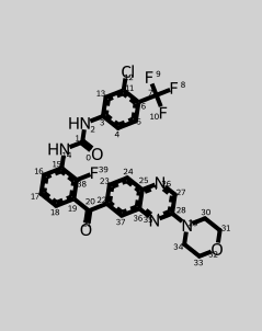 O=C(Nc1ccc(C(F)(F)F)c(Cl)c1)Nc1cccc(C(=O)c2ccc3ncc(N4CCOCC4)nc3c2)c1F